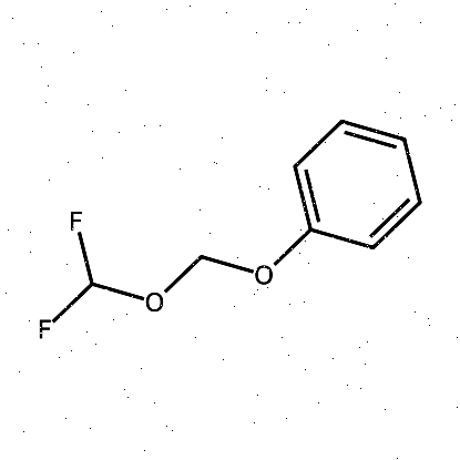 FC(F)OCOc1ccccc1